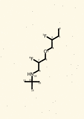 CCC(F)COCC(F)CNC(C)(C)C